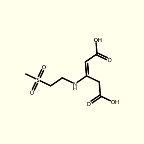 CS(=O)(=O)CCNC(=CC(=O)O)CC(=O)O